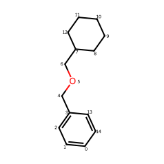 c1ccc(COCC2CCCCC2)cc1